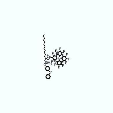 CCCCCCCCCCCCC(O)C[SiH2]Oc1ccc([I+]c2ccccc2)cc1.Fc1c(F)c(F)c([B-](c2c(F)c(F)c(F)c(F)c2F)(c2c(F)c(F)c(F)c(F)c2F)c2c(F)c(F)c(F)c(F)c2F)c(F)c1F